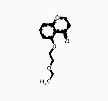 CCOCCOc1cccc2occc(=O)c12